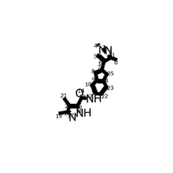 Cc1nn(C)cc1C1=Cc2cc(NC(=O)c3[nH]nc(C)c3C)ccc2C1